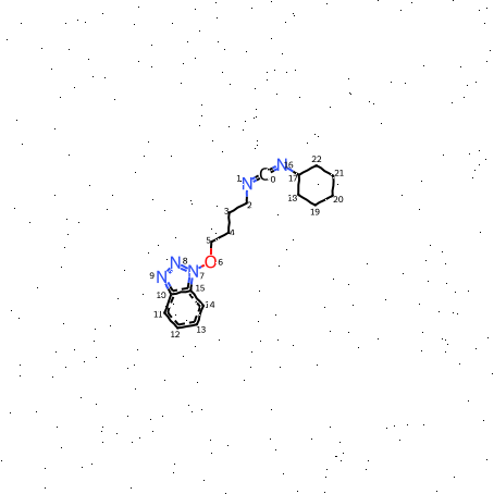 C(=NCCCCOn1nnc2ccccc21)=NC1CCCCC1